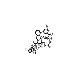 COc1c(CN2O[C@@H](CN)[C@H]([C@H](C)O)[C@H]2C(=O)N[C@H]2C[C@H]3C[C@@H]([C@@H]2C)C3(C)C)cccc1-c1cc(C(=O)NCC(C)C)cc(N(C)C)c1